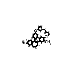 Cc1cc(C2=C(c3ccc(O[C@H]4CCN(CCCF)C4)cc3)c3ccc(OF)cc3CCC2)ccc1Cl